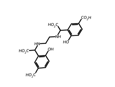 O=C(O)c1ccc(O)c(C(NCCNC(C(=O)O)c2cc(C(=O)O)ccc2O)C(=O)O)c1